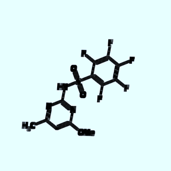 COc1cc(C)nc(NS(=O)(=O)c2c(F)c(F)c(F)c(F)c2F)n1